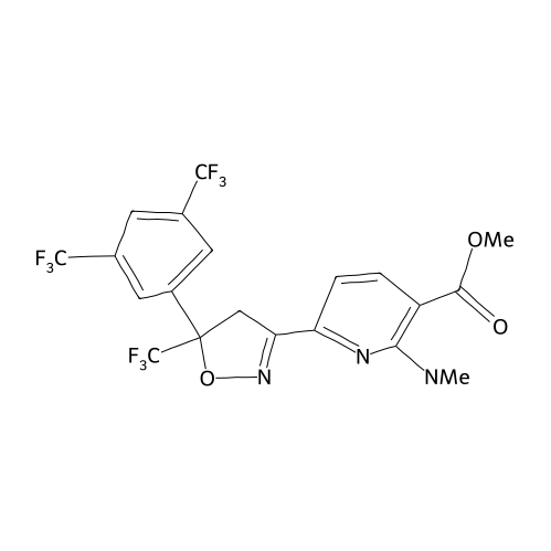 CNc1nc(C2=NOC(c3cc(C(F)(F)F)cc(C(F)(F)F)c3)(C(F)(F)F)C2)ccc1C(=O)OC